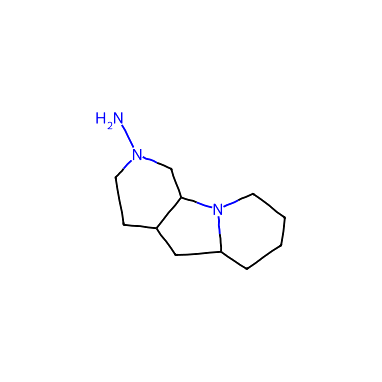 NN1CCC2CC3CCCCN3C2C1